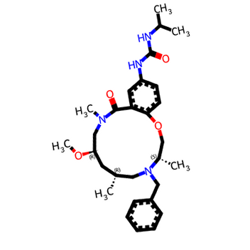 CO[C@@H]1C[C@@H](C)CN(Cc2ccccc2)[C@@H](C)COc2ccc(NC(=O)NC(C)C)cc2C(=O)N(C)C1